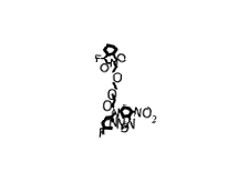 O=C1c2ccccc2C(F)C(=O)N1CCOCCOCC(=O)N(c1ccc(F)cn1)c1ccc([N+](=O)[O-])c2nonc12